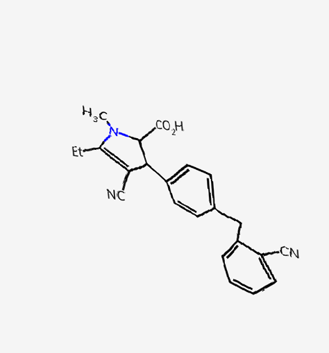 CCC1=C(C#N)C(c2ccc(Cc3ccccc3C#N)cc2)C(C(=O)O)N1C